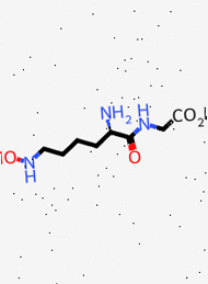 N[C@H](CCCCNO)C(=O)NCC(=O)O